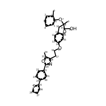 Cc1ccccc1OC(C)(Cc1ccc(OCCc2nc(-c3ccc(-c4cccs4)cc3)oc2C)cc1)C(=O)O